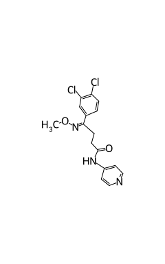 CON=C(CCC(=O)Nc1ccncc1)c1ccc(Cl)c(Cl)c1